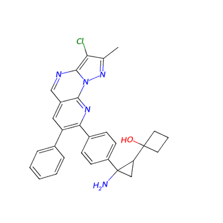 Cc1nn2c(ncc3cc(-c4ccccc4)c(-c4ccc(C5(N)CC5C5(O)CCC5)cc4)nc32)c1Cl